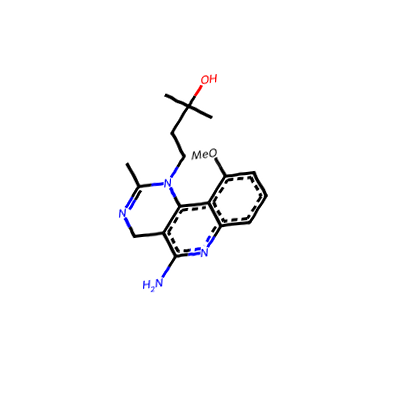 COc1cccc2nc(N)c3c(c12)N(CCC(C)(C)O)C(C)=NC3